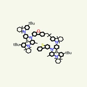 Cc1cc2c3c(c1)N1c4c(cc(C(C)(C)C)cc4C4(C)CCCCC14C)B3c1ccc(N3c4ccc(C(C)(C)C)cc4C4(C)CCCCC34C)cc1N2c1ccc2oc3cc(CC(C)(C)c4ccc5c(c4)C4(C)CCCCC4(C)N5c4ccc5c(c4)N(c4ccc6sc7ccccc7c6c4)c4cc(C)cc6c4B5c4cc(C(C)(C)C)cc5c4N6C4(C)CCCCC54C)ccc3c2c1